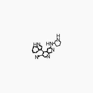 N#Cc1cnc2cnc(NC3CCCNC3)cc2c1-c1c[nH]c2ccccc12